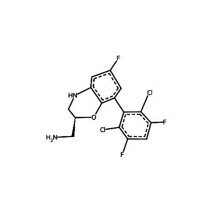 NC[C@H]1CNc2cc(F)cc(-c3c(Cl)c(F)cc(F)c3Cl)c2O1